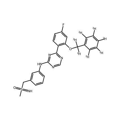 [2H]c1c([2H])c([2H])c(C([2H])([2H])Oc2cc(F)ccc2-c2ncnc(Nc3cccc(CS(C)(=N)=O)c3)n2)c([2H])c1[2H]